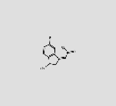 CCCC1C/C(=C/C(=O)Cl)c2cc(F)ccc21